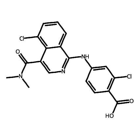 CN(C)C(=O)c1cnc(Nc2ccc(C(=O)O)c(Cl)c2)c2cccc(Cl)c12